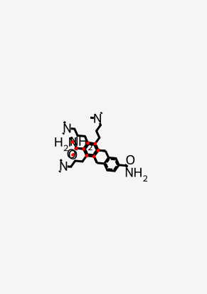 CN(C)CCCc1c(CCCN(C)C)c2c(c(CCCN(C)C)c1C(N)=O)C1c3ccc(C(N)=O)cc3C2c2ccc(C(N)=O)cc21